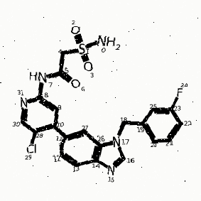 NS(=O)(=O)CC(=O)Nc1cc(-c2ccc3ncn(Cc4cccc(F)c4)c3c2)c(Cl)cn1